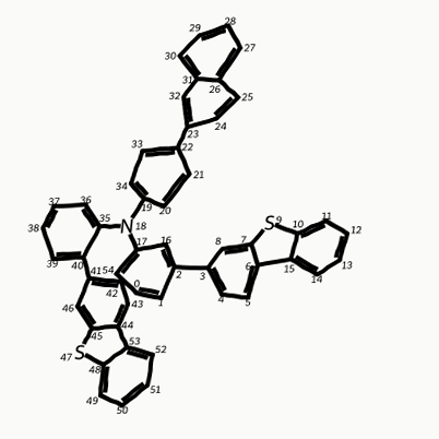 c1cc(-c2ccc3c(c2)sc2ccccc23)cc(N(c2ccc(-c3ccc4ccccc4c3)cc2)c2ccccc2-c2ccc3c(c2)sc2ccccc23)c1